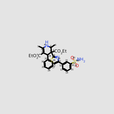 CCOC(=O)C1=C(C)NC(C)C(C(=O)OCC)(c2nc(-c3cccc(S(N)(=O)=O)c3)cs2)C1c1ccccc1